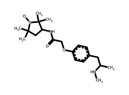 CNC(C)Cc1ccc(OCC(=O)NC2CC(C)(C)N([O])C2(C)C)cc1